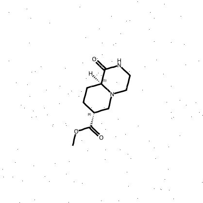 COC(=O)[C@@H]1CC[C@H]2C(=O)NCCN2C1